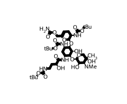 CN[C@@H]1[C@@H](O)[C@@H](O[C@@H]2[C@@H](O)[C@H](O[C@H]3OC(COC(N)=O)=CC[C@H]3NC(=O)OC(C)(C)C)[C@@H](NC(=O)OC(C)(C)C)C[C@H]2NC(=O)[C@@H](O)CCNC(=O)OC(C)(C)C)OC[C@]1(C)O